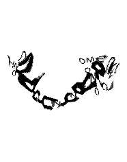 CCOc1cc([C@@H](CC#N)N2C(=O)c3ccc(N4CCC(CN5CCC(CN6CCC(c7ccc(C8CCC(=O)NC8=O)cc7)CC6)CC5)CC4)cc3C2=O)ccc1OC